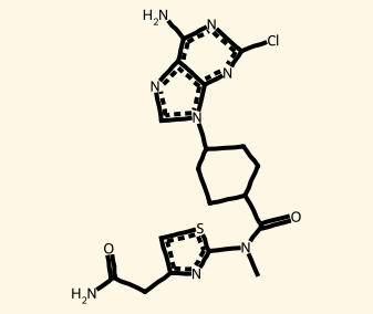 CN(C(=O)C1CCC(n2cnc3c(N)nc(Cl)nc32)CC1)c1nc(CC(N)=O)cs1